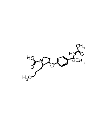 CCCCC1C(Oc2ccc([C@H](C)NC(C)=O)cc2)CCN1C(=O)O